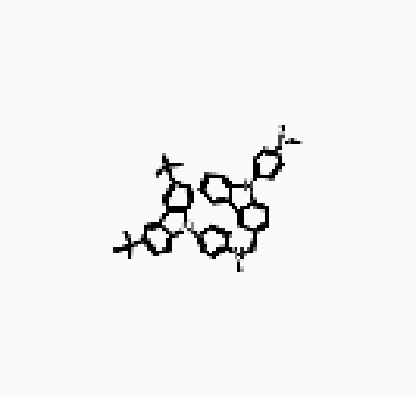 CN(C)c1ccc(-n2c3ccccc3c3cc(CN(C)c4ccc(-n5c6ccc(C(C)(C)C)cc6c6cc(C(C)(C)C)ccc65)cc4)ccc32)cc1